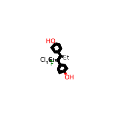 CC/C(=C(/CC)c1ccc(O)cc1)c1ccc(O)cc1.FC(Cl)(Cl)Cl